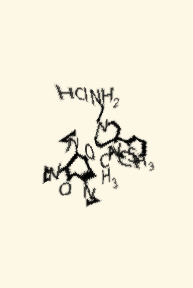 CN(C)C1(c2cccs2)CCN(CCN)CC1.Cl.O=C1C=C(N2CC2)C(=O)C(N2CC2)=C1N1CC1